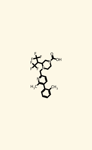 Cc1ccccc1-c1ccc(CN2CCN(C(=O)O)CC2C(C(F)(F)F)C(F)(F)F)nc1C